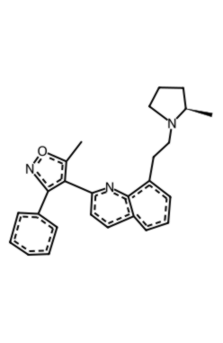 Cc1onc(-c2ccccc2)c1-c1ccc2cccc(CCN3CCC[C@H]3C)c2n1